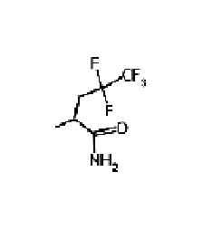 CC(CC(F)(F)C(F)(F)F)C(N)=O